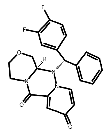 O=C1c2cc(=O)ccn2N([C@@H](c2ccccc2)c2ccc(F)c(F)c2)[C@@H]2COCCN12